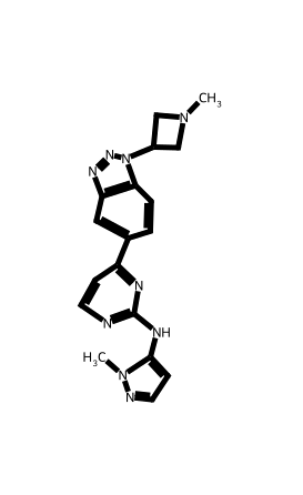 CN1CC(n2nnc3cc(-c4ccnc(Nc5ccnn5C)n4)ccc32)C1